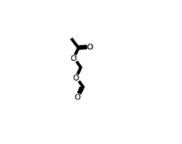 CC(=O)OCOC=O